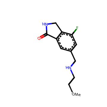 COCCNCc1cc(F)c2c(c1)C(=O)NC2